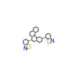 c1ccc2c(c1)ccc1c(-c3cccc4ncsc34)cc3ccc(-c4cccc5ncsc45)cc3c12